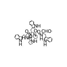 O=[C][C@H](Cc1c[nH]c2ccccc12)NC(=O)[C@@H]1CCCN1C(=O)[C@H](Cc1c[nH]c2ccccc12)NC(=O)[C@H](Cc1c[nH]c2ccccc12)NC(=O)[C@@H]1CCCN1